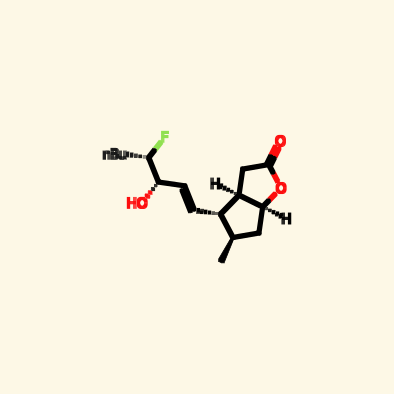 CCCC[C@H](F)[C@@H](O)C=C[C@@H]1[C@H]2CC(=O)O[C@H]2C[C@H]1C